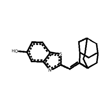 Oc1ccc2sc(C=C3C4CC5CC(C4)CC3C5)nc2c1